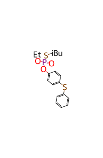 CCOP(=O)(Oc1ccc(Sc2ccccc2)cc1)SC(C)CC